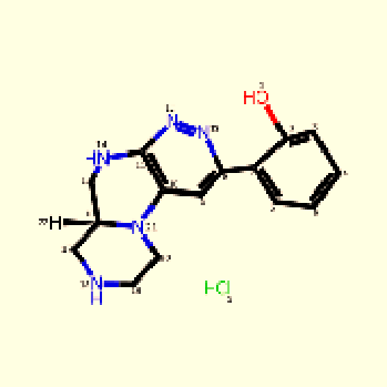 Cl.Oc1ccccc1-c1cc2c(nn1)NC[C@H]1CNCCN21